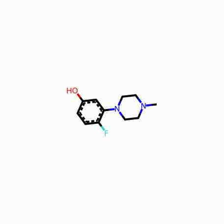 CN1CCN(c2cc(O)ccc2F)CC1